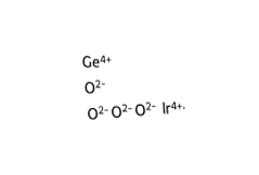 [Ge+4].[Ir+4].[O-2].[O-2].[O-2].[O-2]